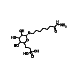 NNC(=O)CCCCCCOC1OC(CCP(=O)(O)O)C(O)C(O)C1O